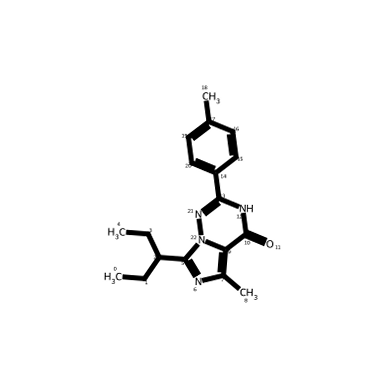 CCC(CC)c1nc(C)c2c(=O)[nH]c(-c3ccc(C)cc3)nn12